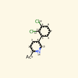 CC(=O)c1ccc(-c2cccc(Cl)c2Cl)cn1